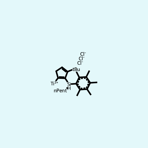 CCCCC[SiH](C1=[C]([Ti+3])CC=C1C(C)(C)C)c1c(C)c(C)c(C)c(C)c1C.[Cl-].[Cl-].[Cl-]